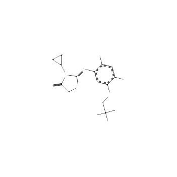 O=C1CS/C(=N\c2cc(SCC(F)(F)F)c(Cl)cc2Cl)N1C1CC1